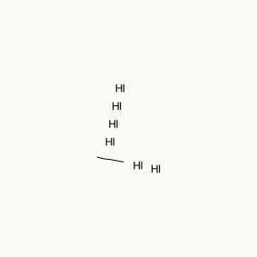 CC.I.I.I.I.I.I